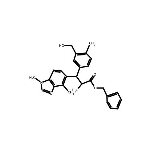 Cc1ccc(C(c2ccc3c(nnn3C)c2C)C(C)C(=O)OCc2ccccc2)cc1CO